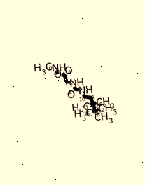 CNOC(=O)CNC(=O)NCCC(C)(C)C(C)(C)C